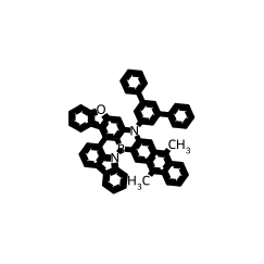 Cc1c2ccccc2c(C)c2cc3c(cc12)B1c2c(cc4oc5ccccc5c4c2-c2cccc4c5ccccc5n1c24)N3c1cc(-c2ccccc2)cc(-c2ccccc2)c1